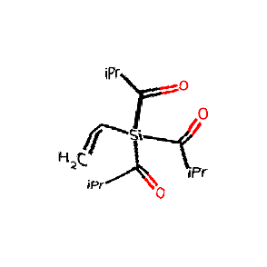 C=C[Si](C(=O)C(C)C)(C(=O)C(C)C)C(=O)C(C)C